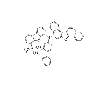 CC(C)(C)c1cccc2c1oc1c(N(c3ccc(-c4ccccc4)cc3)c3cc4oc5c6ccccc6ccc5c4c4ccccc34)cccc12